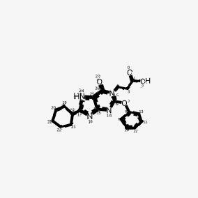 O=C(O)CCn1c(Oc2ccccc2)nc2nc(C3CCCCC3)[nH]c2c1=O